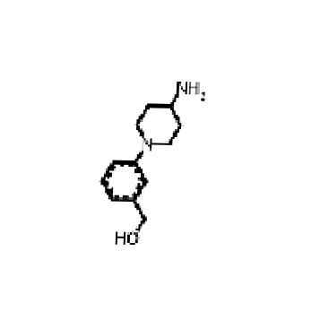 NC1CCN(c2cccc(CO)c2)CC1